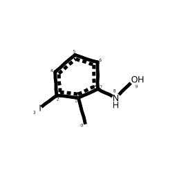 Cc1c(I)cccc1NO